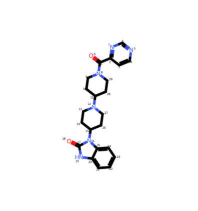 O=C(c1ccncn1)N1CCC(N2CCC(n3c(=O)[nH]c4ccccc43)CC2)CC1